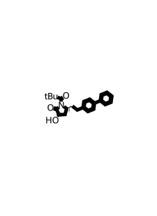 CC(C)(C)C(=O)N1C(=O)[C@H](O)C[C@H]1CCc1ccc(-c2ccccc2)cc1